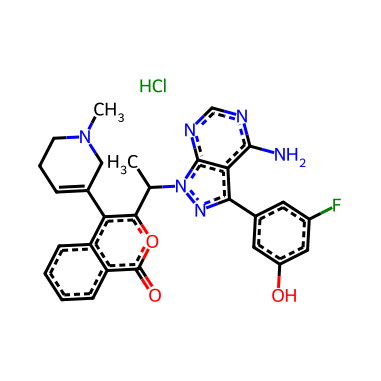 CC(c1oc(=O)c2ccccc2c1C1=CCCN(C)C1)n1nc(-c2cc(O)cc(F)c2)c2c(N)ncnc21.Cl